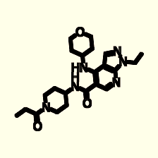 CCC(=O)N1CCC(NC(=O)c2cnc3c(cnn3CC)c2NC2CCOCC2)CC1